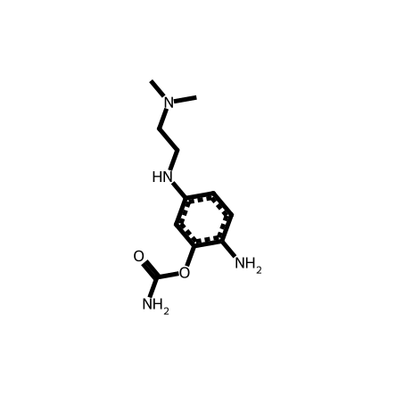 CN(C)CCNc1ccc(N)c(OC(N)=O)c1